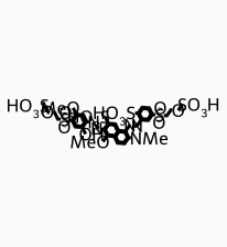 CNc1ccc2c(OC)c(/N=N/c3cc(OC)c(S(=O)(=O)CCOS(=O)(=O)O)cc3O)c(S(=O)(=O)O)cc2c1/N=N/c1cc(S(=O)(=O)CCOS(=O)(=O)O)ccc1S(=O)(=O)O